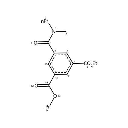 CCCN(C)C(=O)c1cc(C(=O)OCC)cc(C(=O)OC(C)C)c1